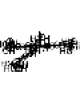 CCCC(=O)NCC(=O)NC(CCC(=O)NCCOCCOCCOCCOC1OC(CO)C(O)C(O)C1NC(C)=O)(CCC(=O)NCCOCCOCCOCCOC1OC(CO)C(O)C(O)C1NC(C)=O)CCC(=O)NCCOCCOCCOCCOC1OC(CO)C(O)C(O)C1NC(C)=O